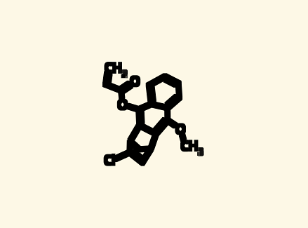 C=CC(=O)Oc1c2c(c(OC)c3ccccc13)C1C=C(Cl)C2C1